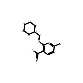 Cc1ccc(C(=O)O)c(OCC2CCCCC2)n1